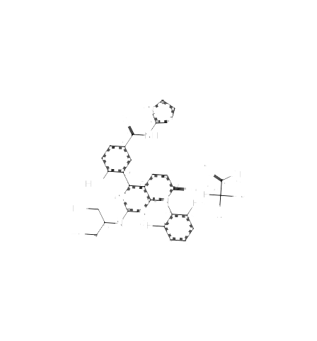 Cc1ccc(C(=O)Nc2nccs2)cc1-c1nc(NC(CO)CO)nc2c1ccc(=O)n2-c1c(F)cccc1F.O=C(O)C(F)(F)F